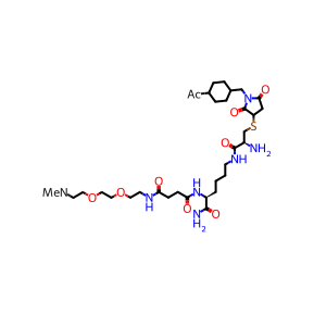 CNCCOCCOCCNC(=O)CCC(=O)N[C@@H](CCCCNC(=O)[C@H](N)CSC1CC(=O)N(CC2CCC(C(C)=O)CC2)C1=O)C(N)=O